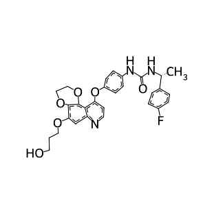 C[C@@H](NC(=O)Nc1ccc(Oc2ccnc3cc(OCCCO)c4c(c23)OCCO4)cc1)c1ccc(F)cc1